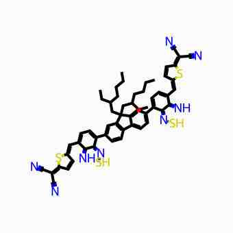 CCCCC(CC)CC1(CC(CC)CCCC)c2cc(C3=CC=C(/C=c4\ccc(=C(C#N)C#N)s4)C(=N)/C3=N\S)ccc2-c2ccc(C3=CC=C(/C=c4\ccc(=C(C#N)C#N)s4)C(=N)/C3=N\S)cc21